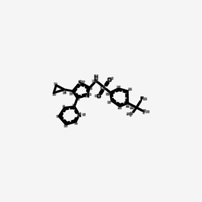 O=S(=O)(Nc1nc(-c2ccccn2)c(C2CC2)s1)c1ccc(C(F)(F)F)cc1